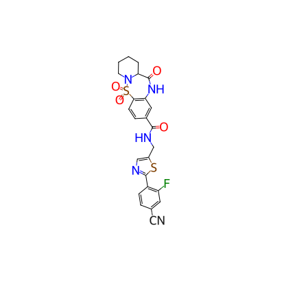 N#Cc1ccc(-c2ncc(CNC(=O)c3ccc4c(c3)NC(=O)C3CCCCN3S4(=O)=O)s2)c(F)c1